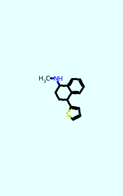 CNC1CCC(c2cccs2)c2ccccc21